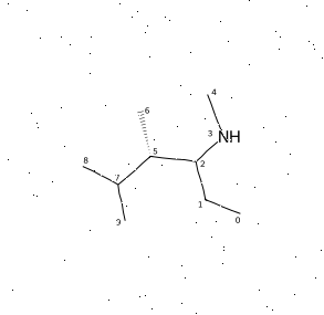 CCC(NC)[C@@H](C)C(C)C